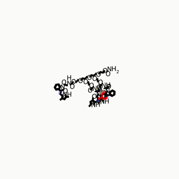 Cc1cc(C)c(/C=C2\C(=O)N(C(=O)CNC(=O)OCCOCC(COCC(COCCOC(N)=O)OCCOC(=O)NCC(=O)N3C(=O)/C(=C\c4[nH]c(C)cc4C)c4ccccc43)OCCOC(=O)NCC(=O)N3C(=O)/C(=C\c4[nH]c(C)cc4C)c4ccccc43)c3ccccc32)[nH]1